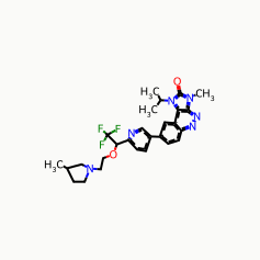 CC1CCN(CCOC(c2ccc(-c3ccc4nnc5c(c4c3)n(C(C)C)c(=O)n5C)cn2)C(F)(F)F)C1